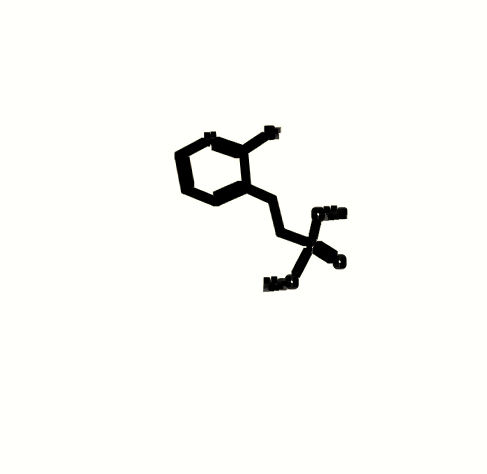 COP(=O)(CCc1cccnc1Br)OC